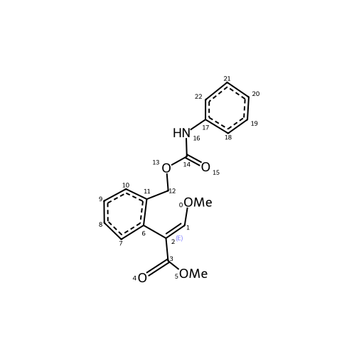 CO/C=C(/C(=O)OC)c1ccccc1COC(=O)Nc1ccccc1